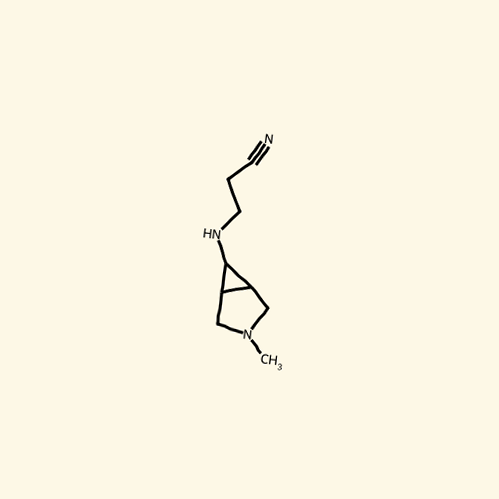 CN1CC2C(C1)C2NCCC#N